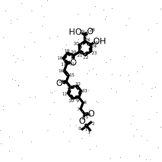 CC(C)(C)OC(=O)CCc1ccc(C(=O)/C=C/c2ccc(-c3ccc(O)c(C(=O)O)c3)o2)cc1